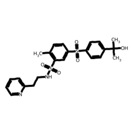 Cc1ccc(S(=O)(=O)c2ccc(C(C)(C)O)cc2)cc1S(=O)(=O)NCCc1ccccn1